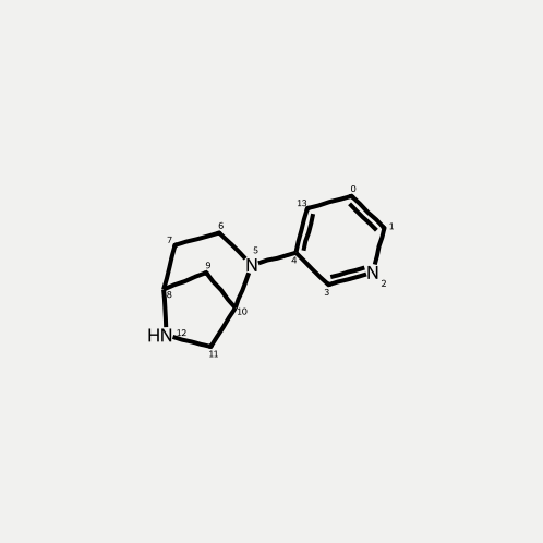 c1cncc(N2CCC3CC2CN3)c1